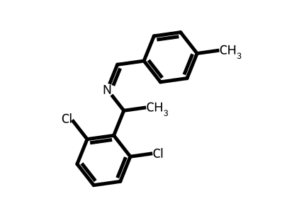 Cc1ccc(/C=N\C(C)c2c(Cl)cccc2Cl)cc1